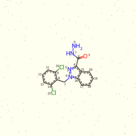 NNC(=O)c1nn(Cc2c(Cl)cccc2Cl)c2ccccc12